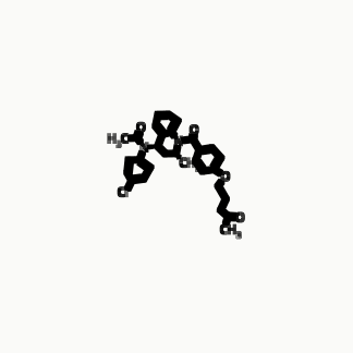 CC(=O)CCCOc1ccc(C(=O)N2c3ccccc3[C@H](N(C(C)=O)c3ccc(Cl)cc3)C[C@@H]2C)cc1